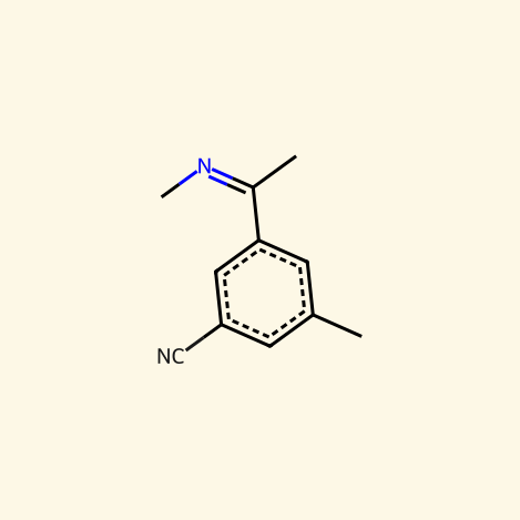 C/N=C(/C)c1cc(C)cc(C#N)c1